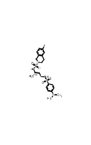 C[C@@H](CCNS(=O)(=O)c1ccc(N(C)C)cc1)NS(=O)(=O)N1CCc2cc(Cl)ccc2C1